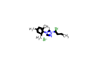 CCCC(Br)[n+]1cn(-c2c(C)cc(C)cc2C)cn1.[Br-]